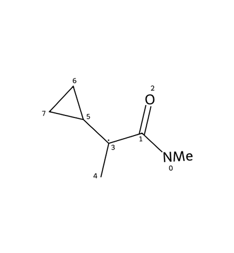 CNC(=O)[C](C)C1CC1